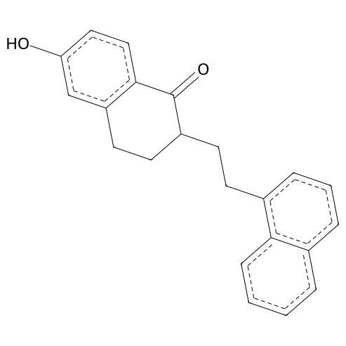 O=C1c2ccc(O)cc2CCC1CCc1cccc2ccccc12